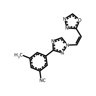 [C-]#[N+]c1cc(C)cc(-c2ncn(/C=C\c3nnco3)n2)c1